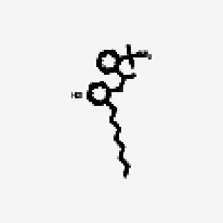 CCCCCCCCc1ccccc1OC(C)c1ccccc1C(C)(C)N.Cl